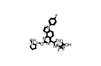 CCCCCC(CC)c1nc(OC[C@@H]2CCCN2C)nc2c1ccc1c2ccn1-c1ccc(F)cc1.O=C(O)C(F)(F)F